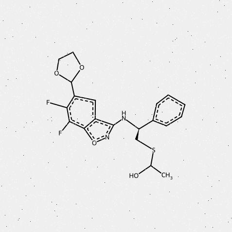 CC(O)SC[C@@H](Nc1noc2c(F)c(F)c(C3OCCO3)cc12)c1ccccc1